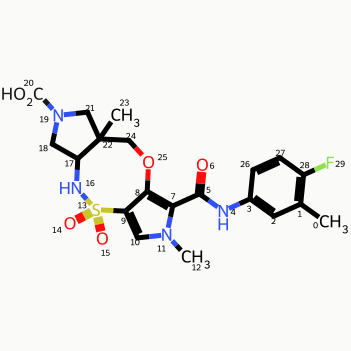 Cc1cc(NC(=O)c2c3c(cn2C)S(=O)(=O)NC2CN(C(=O)O)CC2(C)CO3)ccc1F